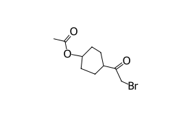 CC(=O)OC1CCC(C(=O)CBr)CC1